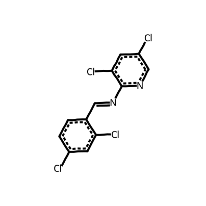 Clc1ccc(C=Nc2ncc(Cl)cc2Cl)c(Cl)c1